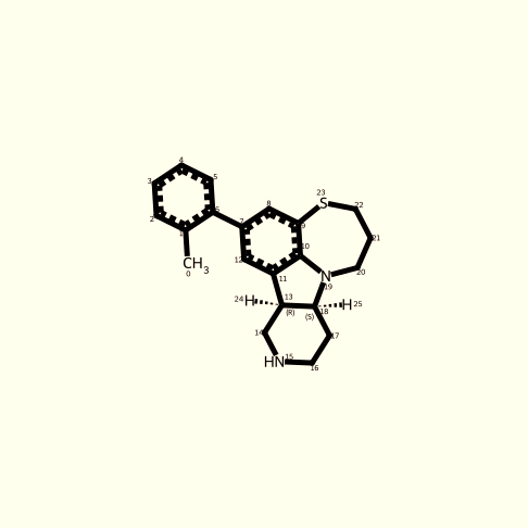 Cc1ccccc1-c1cc2c3c(c1)[C@@H]1CNCC[C@@H]1N3CCCS2